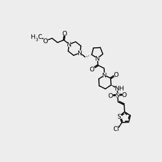 COCCC(=O)N1CCN(C[C@@H]2CCCN2C(=O)CN2CCC[C@H](NS(=O)(=O)/C=C/c3ccc(Cl)s3)C2=O)CC1